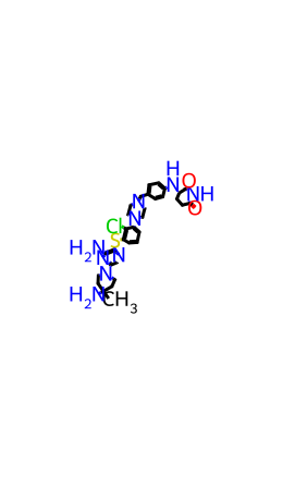 CC1(N)CCN(c2cnc(Sc3cccc(N4CCN(Cc5ccc(NC6CCC(=O)NC6=O)cc5)CC4)c3Cl)c(N)n2)CC1